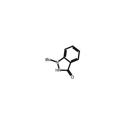 CCC(C)n1[nH]c(=O)c2ccccc21